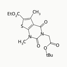 CCOC(=O)c1sc2c(c1C)c(=O)n(CC(=O)OC(C)(C)C)c(=O)n2C